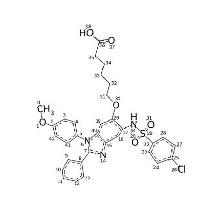 COc1ccc(-n2c(-c3ccccc3)nc3cc(NS(=O)(=O)c4ccc(Cl)cc4)c(OCCCCCC(=O)O)cc32)cc1